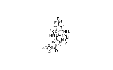 Cc1nnc2nc(NC(C)c3cc(N)cc(C(F)(F)F)c3)c3c(n12)CN(C(=O)C12CC(C)(C1)C2)C3